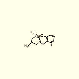 COc1cccc(F)c1CN1CC(C)CC(C)C1